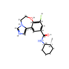 C[C@@H]1CCCC[C@H]1NC(=O)c1cc(F)c2c(c1)-c1cncn1CCO2